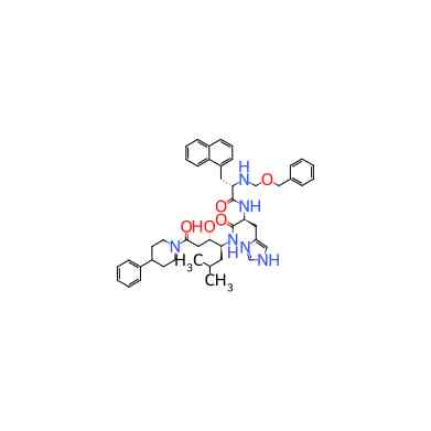 CC(C)C[C@H](NC(=O)[C@H](Cc1c[nH]cn1)NC(=O)[C@H](Cc1cccc2ccccc12)NCOCc1ccccc1)[C@@H](O)CC(=O)N1CCC(c2ccccc2)CC1